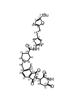 CC(C)(C)c1cnc(CSc2cnc(NC(=O)C3CCN(Cc4ccc5c(c4F)C(=O)N(C4CCC(=O)NC4=O)C5=O)CC3)s2)o1